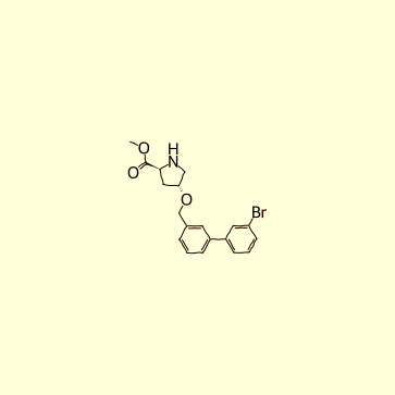 COC(=O)[C@@H]1C[C@@H](OCc2cccc(-c3cccc(Br)c3)c2)CN1